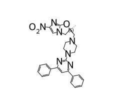 C[C@]1(CN2CCN(c3nc(-c4ccccc4)cc(-c4ccccc4)n3)CC2)Cn2cc([N+](=O)[O-])nc2O1